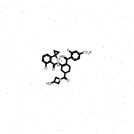 N=C(C1=C(NC(=O)c2c(Cl)cccc2C2(C(F)(F)F)CC2)CC(C(=O)N2CC(O)C2)CC1)c1ccc(C(=O)O)cc1F